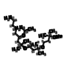 COC(C)(C)CCOC(C)(C)CCOC(C)(C)CC(CCCCN)OC(C)N